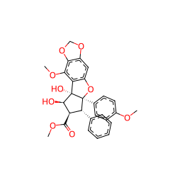 COC(=O)[C@H]1[C@@H](O)[C@@]2(O)c3c(cc4c(c3OC)OCO4)O[C@@]2(c2ccc(OC)cc2)[C@@H]1c1ccccc1